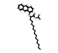 CCCCCCCCCCCCCCC(Oc1cccc2cc3ccccc3cc12)C(=O)OC(C)C